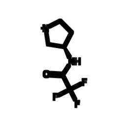 O=C(N[C@@H]1CC[N]C1)C(F)(F)F